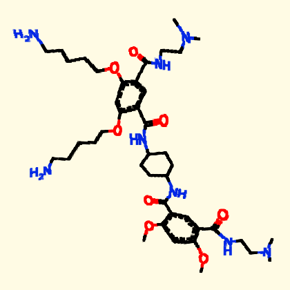 COc1cc(OC)c(C(=O)NC2CCC(NC(=O)c3cc(C(=O)NCCN(C)C)c(OCCCCCN)cc3OCCCCCN)CC2)cc1C(=O)NCCN(C)C